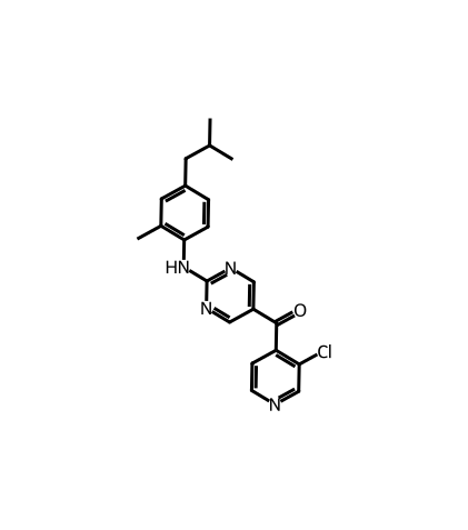 Cc1cc(CC(C)C)ccc1Nc1ncc(C(=O)c2ccncc2Cl)cn1